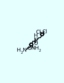 NCCOc1ccc(CC(=O)NCCCc2ccc(Cl)c(Cl)c2)cc1N